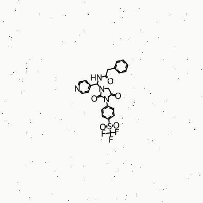 O=C(Cc1ccccc1)NC(c1ccncc1)N1CC(=O)N(c2ccc(S(=O)(=O)C(F)(F)F)cc2)C1=O